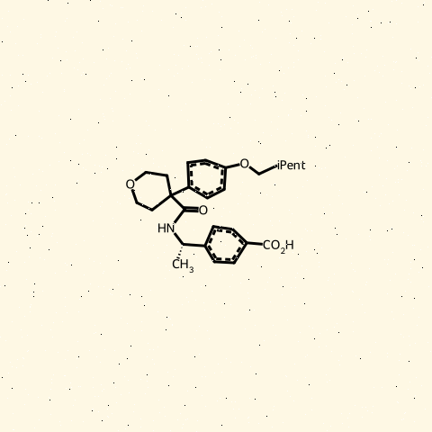 CCCC(C)COc1ccc(C2(C(=O)N[C@@H](C)c3ccc(C(=O)O)cc3)CCOCC2)cc1